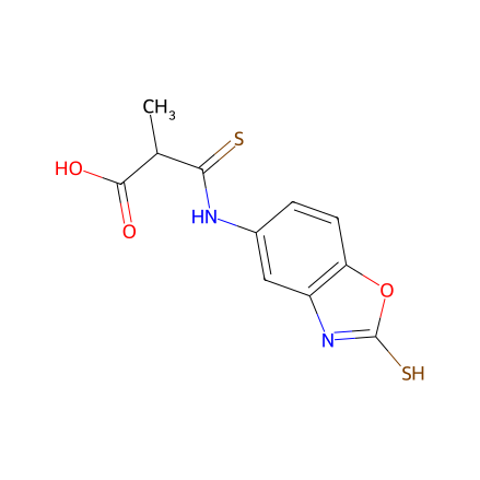 CC(C(=O)O)C(=S)Nc1ccc2oc(S)nc2c1